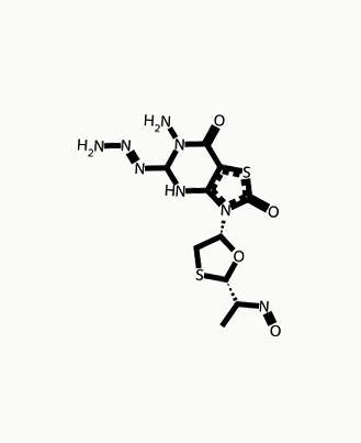 CC(N=O)[C@H]1O[C@@H](n2c3c(sc2=O)C(=O)N(N)C(N=NN)N3)CS1